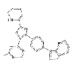 Cc1cc(-n2cc(C3=CC=CCN3)nc2-c2ccc(-n3ccc4cccnc43)cc2)ccn1